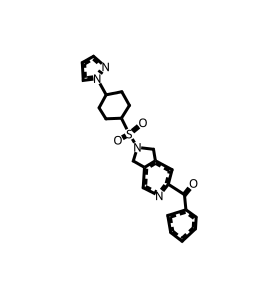 O=C(c1ccccc1)c1cc2c(cn1)CN(S(=O)(=O)C1CCC(n3cccn3)CC1)C2